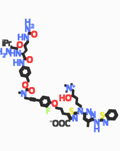 Cc1cc(N(CCCC(O)C[N+](C)(C)C)c2nc(C(=O)[O-])c(CCCOc3ccc(C#CCN(C)C(=O)OCc4ccc(NC(=O)[C@H](CCCNC(N)=O)NC(=O)[C@@H](N)C(C)C)cc4)cc3F)s2)nnc1Nc1nc2ccccc2s1